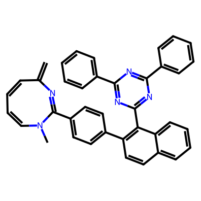 C=C1/C=C\C=C/N(C)/C(c2ccc(-c3ccc4ccccc4c3-c3nc(-c4ccccc4)nc(-c4ccccc4)n3)cc2)=N\1